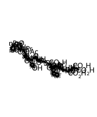 CCCC(=O)OCN(C(=O)[C@@H](NC(=O)[C@H]1CCCCCN1C)C(C)CC)[C@H](C[C@@H](OC(C)=O)c1nc(C(=O)N[C@@H](Cc2ccc(O)cc2)C[C@H](C)C(=O)NNC(=O)OCCSSC[C@H](NC(=O)[C@H](Cc2ccc3ccccc3c2)NC(=O)[C@H](CC(C)=O)NC(=O)NCCCC[C@H](NC(=O)N[C@@H](CCC(=O)O)C(=O)O)C(=O)O)C(=O)O)cs1)C(C)C